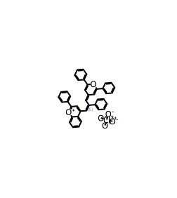 C(=C1C=C(c2ccccc2)OC(c2ccccc2)=C1)/C(=C\c1cc(-c2ccccc2)[o+]c2ccccc12)c1ccccc1.[O-][Cl+3]([O-])([O-])[O-]